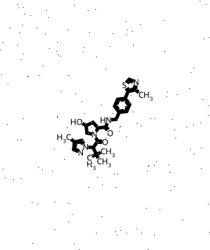 Cc1cnn(C(C(=O)N2CC(O)CC2C(=O)NCc2ccc(-c3scnc3C)cc2)C(C)(C)C)c1